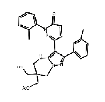 CC(=O)OCC1(CO)CNc2c(-c3ccc(=O)n(-c4ccccc4C)n3)c(-c3cccc(C)c3)nn2C1